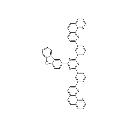 c1cc(-c2ccc3ccc4cccnc4c3n2)cc(-c2nc(-c3cccc(-c4ccc5ccc6cccnc6c5n4)c3)nc(-c3ccc4oc5ccccc5c4c3)n2)c1